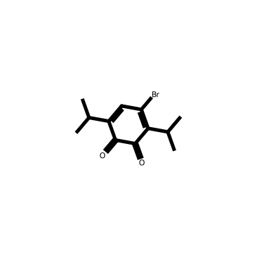 CC(C)C1=CC(Br)=C(C(C)C)C(=O)C1=O